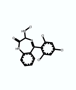 O=C1Nc2ccccc2C(c2c(Cl)cc(Cl)cc2Cl)=NC1NCl